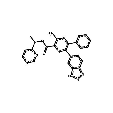 CC(NC(=O)c1nc(-c2ccc3nn[nH]c3c2)c(-c2ccccc2)nc1N)c1ccncn1